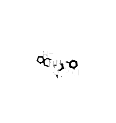 N[C@@H]1CCCC12CCN(c1ncc(Sc3c(Cl)cccc3Cl)c3nncn13)CC2